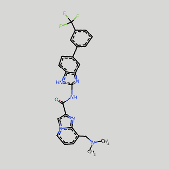 CN(C)Cc1cccn2cc(C(=O)Nc3nc4cc(-c5cccc(C(F)(F)F)c5)ccc4[nH]3)nc12